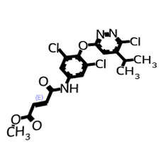 COC(=O)/C=C/C(=O)Nc1cc(Cl)c(Oc2cc(C(C)C)c(Cl)nn2)c(Cl)c1